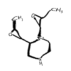 CC1OC1C1CNCCN1C1OC1C